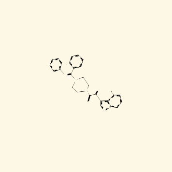 O=C(C(=O)N1CCN(/C(=N/c2ccccc2)c2ccccc2)CC1)c1c[nH]c2cccc(F)c12